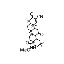 CONC(=O)[C@]12CCC(C)(C)CC1C1C(=O)CC3[C@@]4(C)C=C(C#N)C(=O)[C@@H](C)C4CC[C@@]3(C)[C@]1(C)CC2